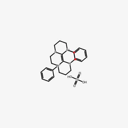 O=S(=O)(O)O.c1ccc([N+]23CCCN4CC[N+]5(c6ccccc6)CCCN(CC2)C5=C43)cc1